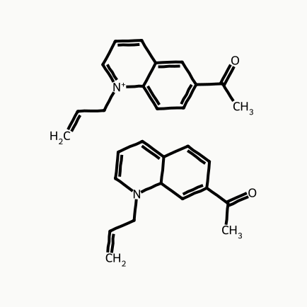 C=CCN1C=CC=C2C=CC(C(C)=O)=CC21.C=CC[n+]1cccc2cc(C(C)=O)ccc21